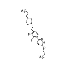 CCCOc1ccc(-c2ccc(CC[C@H]3CC[C@H](CCC)CC3)c(F)c2F)nn1